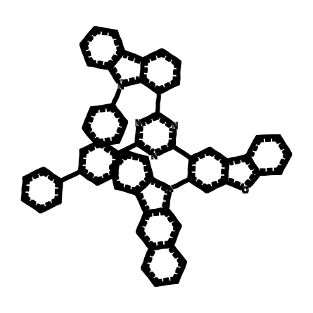 c1ccc(-c2ccc(-c3nc(-c4cc5c(cc4-n4c6ccccc6c6cc7ccccc7cc64)oc4ccccc45)nc(-c4cccc5c6ccccc6n(-c6ccccc6)c45)n3)cc2)cc1